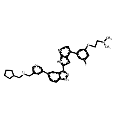 CN(C)CCOc1cc(F)cc(-c2ccnc3[nH]c(-c4n[nH]c5ccc(-c6cncc(CNCC7CCCC7)c6)cc45)cc23)c1